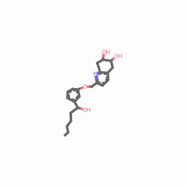 CCCCCC(O)c1cccc(OCc2ccc3c(n2)CC(O)C(O)C3)c1